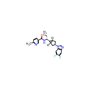 CC[C@@H](NC(=O)c1ccc(C)nc1)[C@H]1[C@@H]2C[C@@H](n3cnc4cc(F)c(F)cc43)C[C@@H]21